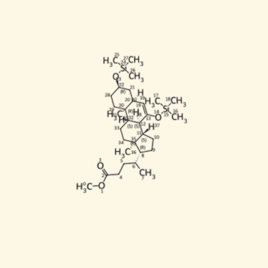 COC(=O)CCC(C)[C@H]1CC[C@H]2[C@@H]3C(O[Si](C)(C)C)=C[C@@H]4C[C@H](O[Si](C)(C)C)CC[C@]4(C)[C@H]3CC[C@]12C